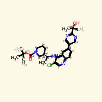 CC(Nc1c(Cl)cnc2ccc(-c3cnc(C(C)(C)O)nc3)cc12)[C@@H]1CCCN(C(=O)OC(C)(C)C)C1